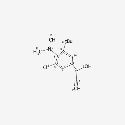 C#CC(O)c1cc(Cl)c(N(C)C)c(C(C)(C)C)c1